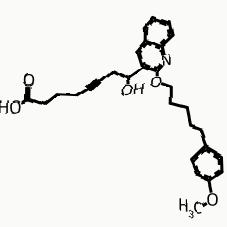 COc1ccc(CCCCCOc2nc3ccccc3cc2C(O)CC#CCCCC(=O)O)cc1